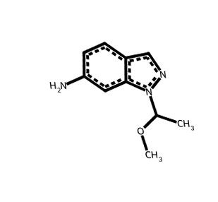 COC(C)n1ncc2ccc(N)cc21